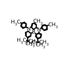 CC1=CC2C3B(c4cc(C(C)(C)C)ccc4N2c2ccc(C)cc2)C2C=C(C(C)(C)C)C=CC2N(c2ccc(C)cc2)C3=C1